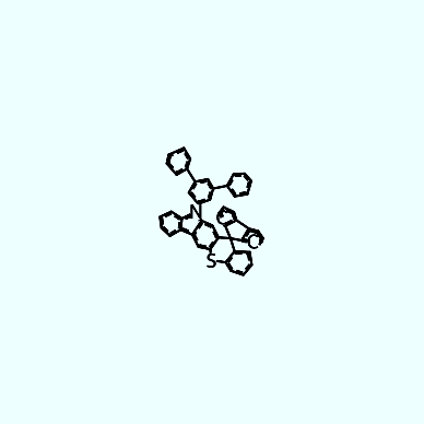 c1ccc(-c2cc(-c3ccccc3)cc(-n3c4ccccc4c4cc5c(cc43)C3(c4ccccc4S5)c4ccccc4-c4ccccc43)c2)cc1